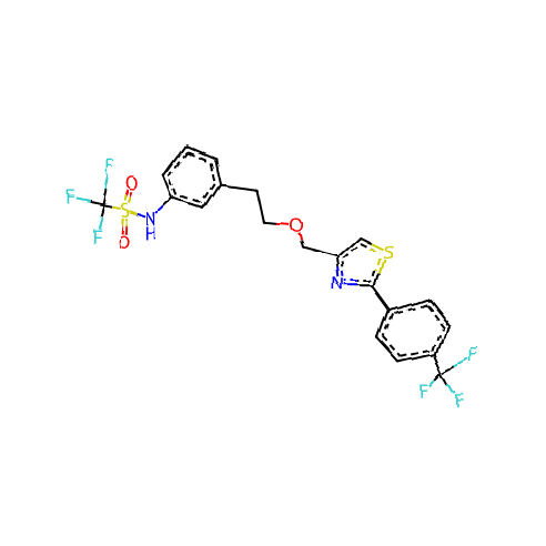 O=S(=O)(Nc1cccc(CCOCc2csc(-c3ccc(C(F)(F)F)cc3)n2)c1)C(F)(F)F